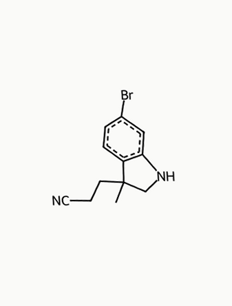 CC1(CCC#N)CNc2cc(Br)ccc21